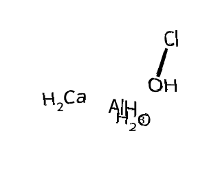 O.OCl.[AlH3].[CaH2]